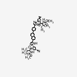 COC(=O)NC(C(=O)N1C[C@@H](C#N)C[C@H]1c1ncc(-c2ccc3cc(-c4ccc(-c5cnc([C@@H]6CC7(CC7)CN6C(=O)[C@@H](NC(=O)OC)C(C)C)[nH]5)cc4)ccc3c2)[nH]1)C(C)C